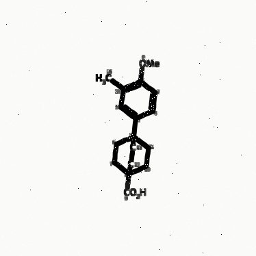 COc1ccc(C23CCC(C(=O)O)(CC2)CC3)cc1C